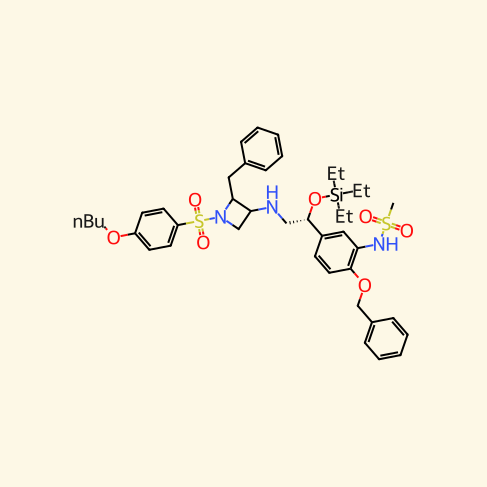 CCCCOc1ccc(S(=O)(=O)N2CC(NC[C@H](O[Si](CC)(CC)CC)c3ccc(OCc4ccccc4)c(NS(C)(=O)=O)c3)C2Cc2ccccc2)cc1